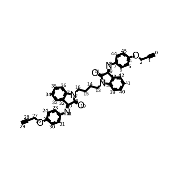 C#CCOc1ccc(/N=C2/C(=O)N(CCCCN3C(=O)/C(=N/c4ccc(OCC#C)cc4)c4ccccc43)c3ccccc32)cc1